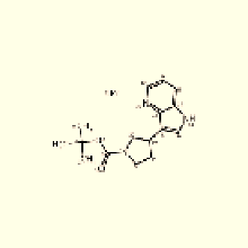 CC(C)(C)OC(=O)N1CCC(c2c[nH]c3cccnc23)C1.[Pd]